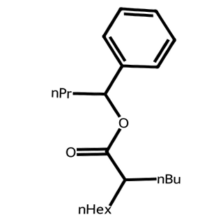 CCCCCCC(CCCC)C(=O)OC(CCC)c1ccccc1